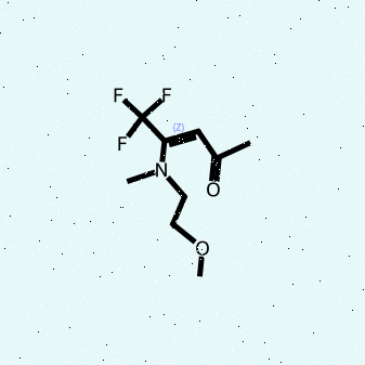 COCCN(C)/C(=C\C(C)=O)C(F)(F)F